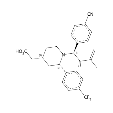 C=C(C)C(=C)[C@H](c1ccc(C#N)cc1)N1CC[C@@H](CC(=O)O)C[C@H]1c1ccc(C(F)(F)F)cc1